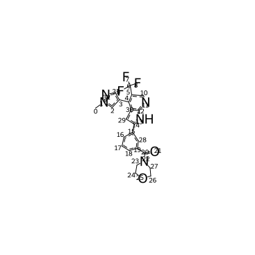 Cn1cc(-c2c(C(F)(F)F)cnc3[nH]c(-c4cccc(C(=O)N5CCOCC5)c4)cc23)cn1